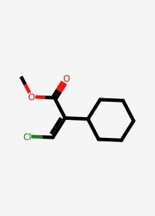 COC(=O)C(=CCl)C1CCCCC1